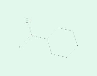 [CH2]CC(=O)C1CCCCC1